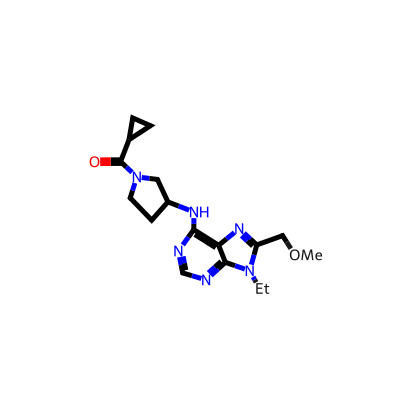 CCn1c(COC)nc2c(NC3CCN(C(=O)C4CC4)C3)ncnc21